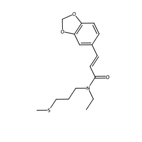 CCN(CCCSC)C(=O)C=Cc1ccc2c(c1)OCO2